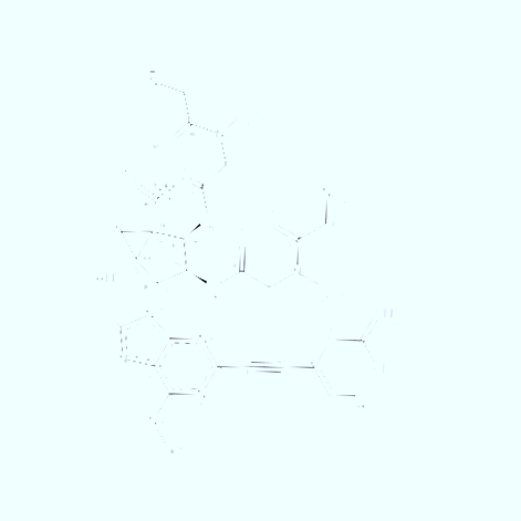 C=C(Cl)S/C(C#Cc1nc(NCCC)c2ncn([C@H]3[C@H](OC(=O)CN(C)C(=O)CN)[C@H](OC(=O)CN(C)C(=O)CN)[C@]4(C(=O)NC)C[C@H]34)c2n1)=C\C